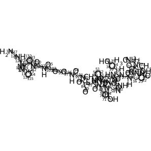 CNC(=O)C1CCCN1C(=O)C(NC(=O)C(Cc1ccc(O)cc1)NC(=O)CNC(=O)C(Cc1ccc(O)cc1)NC(=O)C(Cc1c[nH]c2ccccc12)NC(=O)C(Cc1c[nH]cn1)NC(=O)C(Cc1ccc(O)cc1)NC(=O)C(N)CSC(CC=O)C(=O)N(C)CCC(=O)NCCOCCOCCC(=O)NCCC(=O)N1Cc2ccccc2-c2nnn(CCNCCN)c2-c2ccccc21)C(C)O